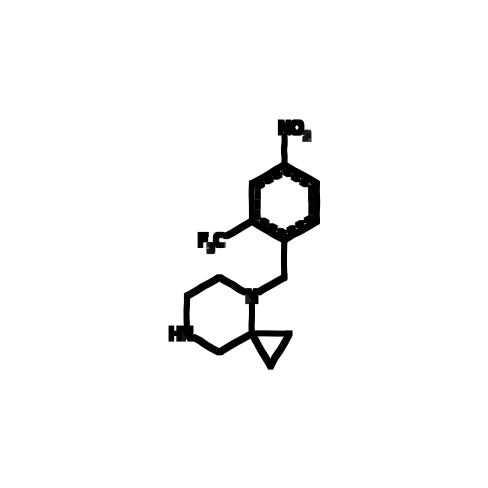 O=[N+]([O-])c1ccc(CN2CCNCC23CC3)c(C(F)(F)F)c1